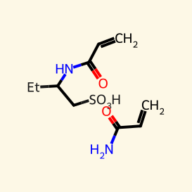 C=CC(=O)NC(CC)CS(=O)(=O)O.C=CC(N)=O